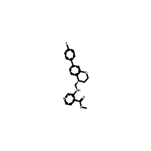 COC(=O)c1ccncc1NC[C@@H]1CCOc2cc(-c3ccc(F)cc3)ccc21